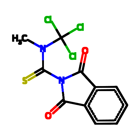 CN(C(=S)N1C(=O)c2ccccc2C1=O)C(Cl)(Cl)Cl